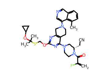 C=C(F)C(=O)N1CCN(c2nc(OCSC(C)(C)OC3CC3)nc3c2CCN(c2cncc4cccc(C)c24)C3)C[C@@H]1CC#N